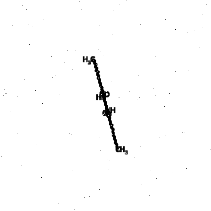 CCCCCCCCCCCCCCCCCCOC(=O)NCCCCCCNC(=O)OCCCCCCCCCCCCCCCCCC